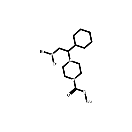 CCN(CC)CC(C1CCCCC1)N1CCN(C(=O)OC(C)(C)C)CC1